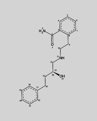 NC(=O)c1ccccc1CCNC[C@@H](O)[CH]Cc1ccccc1